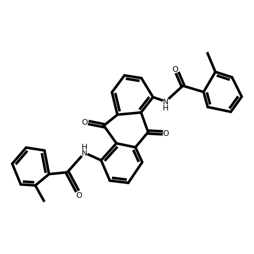 Cc1ccccc1C(=O)Nc1cccc2c1C(=O)c1cccc(NC(=O)c3ccccc3C)c1C2=O